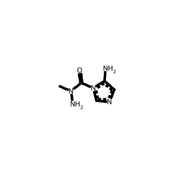 CN(N)C(=O)n1cncc1N